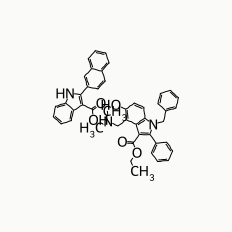 CCOC(=O)c1c(-c2ccccc2)n(Cc2ccccc2)c2ccc(O)c(CN(C)C)c12.O=C(O)c1c(-c2ccc3ccccc3c2)[nH]c2ccccc12